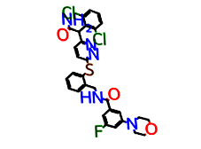 NC(=O)C(c1ccc(Sc2ccccc2CNC(=O)c2cc(F)cc(N3CCOCC3)c2)nn1)c1c(Cl)cccc1Cl